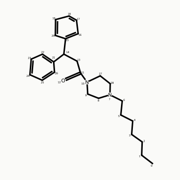 CCCCCCCN1CCN(C(=O)CC(c2ccccc2)c2ccccc2)CC1